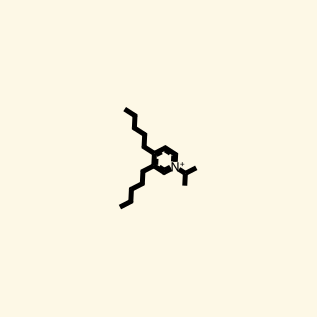 CCCCCc1cc[n+](C(C)C)cc1CCCCC